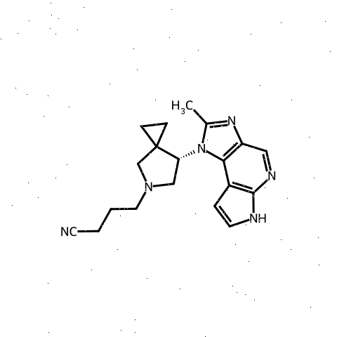 Cc1nc2cnc3[nH]ccc3c2n1[C@@H]1CN(CCCC#N)CC12CC2